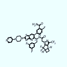 NC(=O)c1cc(-c2cc3sc(N4CCN(c5ccncc5)CC4)nc3nc2[C@H](Cc2cc(F)cc(F)c2)NC(=O)Cn2nc(C(F)(F)F)c3c2C(F)(F)[C@@H]2CC[C@H]32)ccc1F